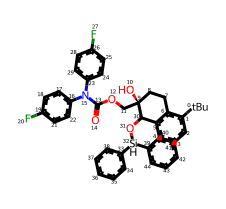 CC(C)(C)c1cccc2c1CC[C@@](O)(COC(=O)N(c1ccc(F)cc1)c1ccc(F)cc1)C2O[SiH](c1ccccc1)c1ccccc1